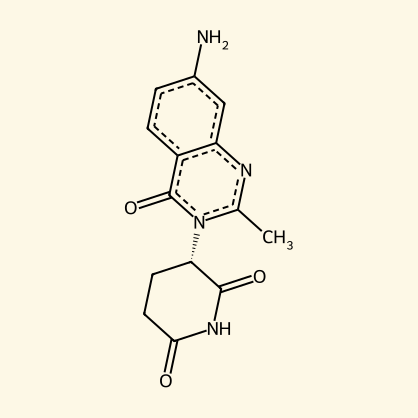 Cc1nc2cc(N)ccc2c(=O)n1[C@H]1CCC(=O)NC1=O